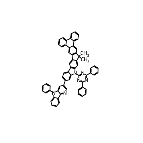 CC1(C)c2cc3c4ccccc4c4ccccc4c3cc2-c2cc3c4ccc(-c5cnc6c7ccccc7n(-c7ccccc7)c6c5)cc4n(-c4nc(-c5ccccc5)nc(-c5ccccc5)n4)c3cc21